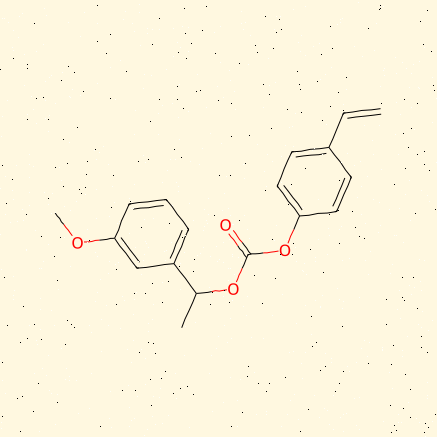 C=Cc1ccc(OC(=O)OC(C)c2cccc(OC)c2)cc1